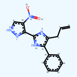 C=CCc1nc(-c2n[nH]cc2[N+](=O)[O-])[nH]c1-c1ccccc1